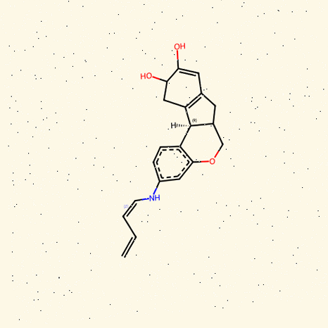 C=C/C=C\Nc1ccc2c(c1)OCC1CC3=C(CC(O)C(O)=C3)[C@H]21